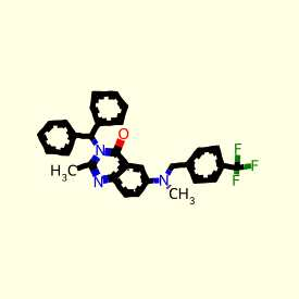 Cc1nc2ccc(N(C)Cc3ccc(C(F)(F)F)cc3)cc2c(=O)n1C(c1ccccc1)c1ccccc1